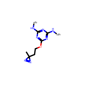 CCCNc1nc(NCCC)nc(OCCC2(C)N=N2)n1